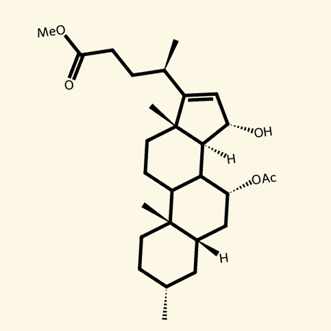 COC(=O)CC[C@@H](C)C1=C[C@H](O)[C@H]2C3C(CC[C@]12C)[C@@]1(C)CC[C@@H](C)C[C@H]1C[C@H]3OC(C)=O